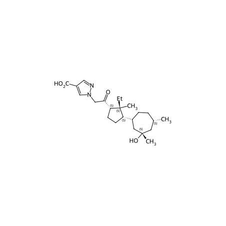 CC[C@]1(C)[C@@H](C(=O)Cn2cc(C(=O)O)cn2)CC[C@H]1C1CC[C@H](C)C[C@](C)(O)C1